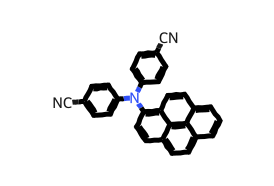 N#Cc1ccc(N(c2ccc(C#N)cc2)c2ccc3ccc4cccc5ccc2c3c45)cc1